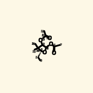 CC[C@H]1OC(OC(C)=O)C(OC(C)=O)C1(C)C